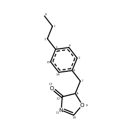 CCCc1ccc(CC2OC=NC2=O)cc1